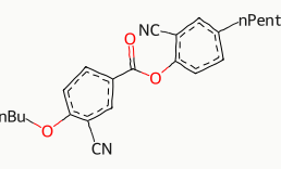 CCCCCc1ccc(OC(=O)c2ccc(OCCCC)c(C#N)c2)c(C#N)c1